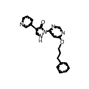 O=c1c(-c2cccnc2)c[nH]n1-c1cc(OCCCc2ccccc2)ncn1